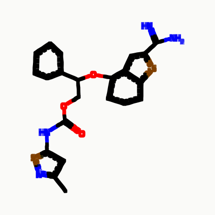 Cc1cc(NC(=O)OCC(Oc2cccc3sc(C(=N)N)cc23)c2ccccc2)sn1